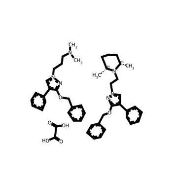 CN(C)CCCn1cc(-c2ccccc2)c(OCc2ccccc2)n1.C[C@@H]1CCC[C@H](C)N1CCn1cc(-c2ccccc2)c(OCc2ccccc2)n1.O=C(O)C(=O)O